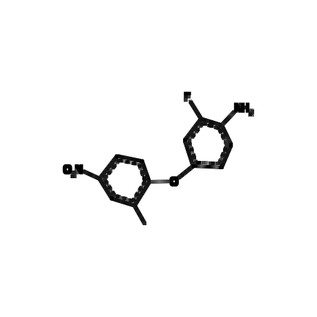 Cc1cc([N+](=O)[O-])ccc1Oc1ccc(N)c(F)c1